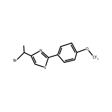 CC(Br)c1csc(-c2ccc(OC(F)(F)F)cc2)n1